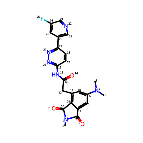 CN1C(=O)c2cc(N(C)C)cc(CC(=O)Nc3ccc(-c4cncc(F)c4)nn3)c2C1=O